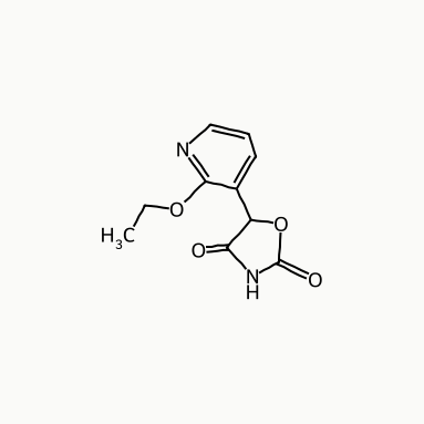 CCOc1ncccc1C1OC(=O)NC1=O